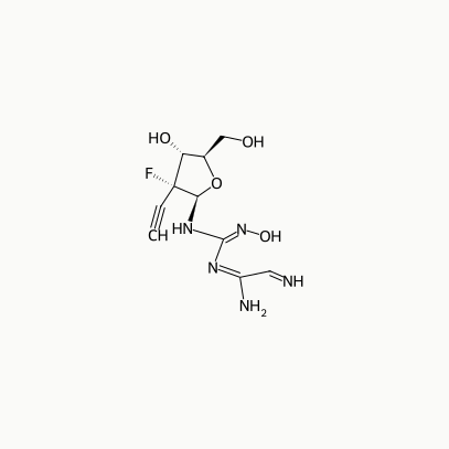 C#C[C@]1(F)[C@H](NC(=N/O)/N=C(/N)C=N)O[C@H](CO)[C@H]1O